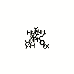 CCCCC(CC(C(=O)NCC1C(=O)NC(C)CC1C)C1CNN(C(C)C)C1NC)c1ccc(OC(C)C)cc1